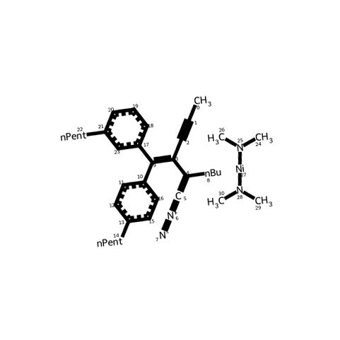 CC#CC(C(=C=[N+]=[N-])CCCC)=C(c1ccc(CCCCC)cc1)c1cccc(CCCCC)c1.C[N](C)[Ni][N](C)C